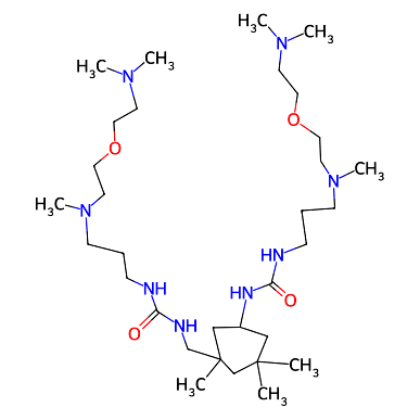 CN(C)CCOCCN(C)CCCNC(=O)NCC1(C)CC(NC(=O)NCCCN(C)CCOCCN(C)C)CC(C)(C)C1